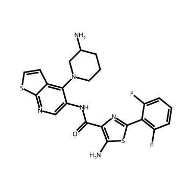 Nc1sc(-c2c(F)cccc2F)nc1C(=O)Nc1cnc2sccc2c1N1CCCC(N)C1